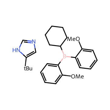 CC(C)(C)c1cnc[nH]1.COc1ccccc1B(c1ccccc1OC)C1CCCCC1